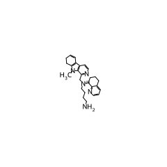 Cn1c2c(c3ccnc(CN(CCCCN)[C@H]4CCCc5cccnc54)c31)C=CCC2